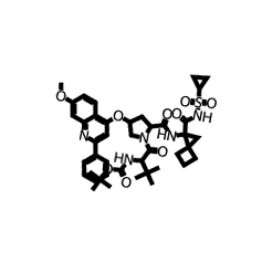 COc1ccc2c(OC3CC(C(=O)NC4(C(=O)NS(=O)(=O)C5CC5)CC45CCC5)N(C(=O)C(NC(=O)OC(C)(C)C)C(C)(C)C)C3)cc(-c3ccccc3)nc2c1